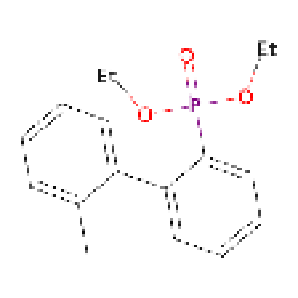 CCOP(=O)(OCC)c1ccccc1-c1ccccc1C